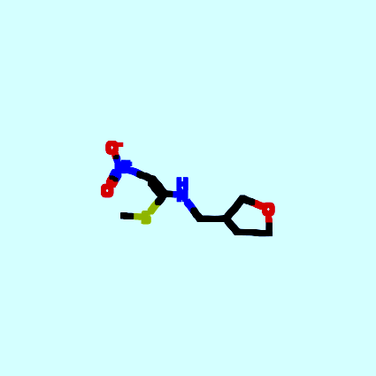 CSC(=C[N+](=O)[O-])NCC1CCOC1